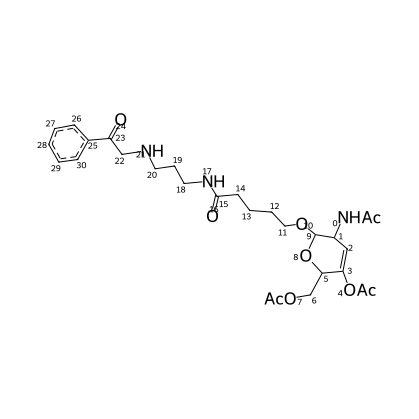 CC(=O)NC1C=C(OC(C)=O)C(COC(C)=O)OC1OCCCCC(=O)NCCCNCC(=O)c1ccccc1